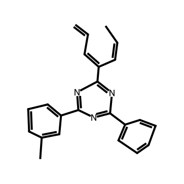 C=C/C=C(\C=C/C)c1nc(-c2ccccc2)nc(-c2cccc(C)c2)n1